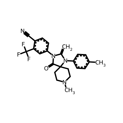 C=C1N(c2ccc(C#N)c(C(F)(F)F)c2)C(=O)C2(CCN(C)CC2)N1c1ccc(C)cc1